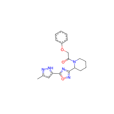 Cc1cc(-c2nc(C3CCCCN3C(=O)COc3ccccc3)no2)[nH]n1